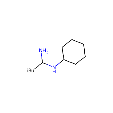 CCC(C)C(N)NC1CCCCC1